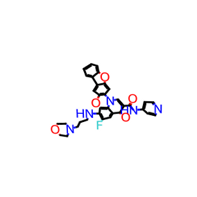 O=C(Nc1ccncc1)c1cn2c3c(c(NCCCN4CCOCC4)c(F)cc3c1=O)Oc1cc3c(cc1-2)oc1ccccc13